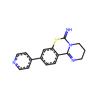 N=C1Sc2cc(-c3ccncc3)ccc2C2=NCCCN12